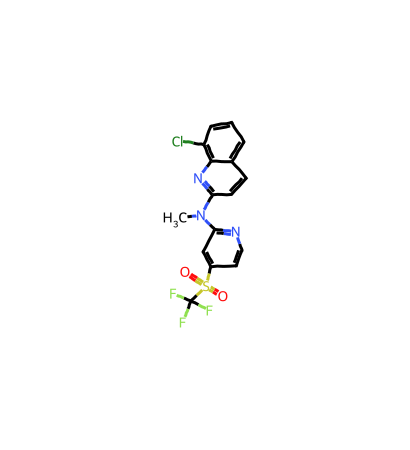 CN(c1cc(S(=O)(=O)C(F)(F)F)ccn1)c1ccc2cccc(Cl)c2n1